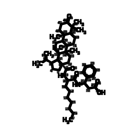 C=C(C)[C@@H]1CC[C@]2(C(=O)NC(CCCCCCC)C(=O)NC(CC(=O)O)c3ccccc3)CC[C@]3(C)C(CCC4[C@@]5(C)CCC(=O)C(C)(C)C5CC[C@]43C)C12